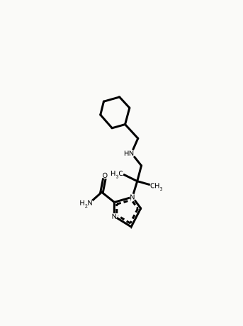 CC(C)(CNCC1CCCCC1)n1c[c]nc1C(N)=O